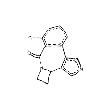 O=C1c2c(Cl)cccc2-n2cncc2C2CCN12